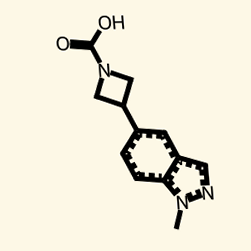 Cn1ncc2cc(C3CN(C(=O)O)C3)ccc21